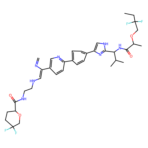 C=N/C(=C\NCCNC(=O)C1CCC(F)(F)CO1)c1ccc(-c2ccc(-c3c[nH]c(C(NC(=O)C(C)OCC(F)(F)CC)C(C)C)n3)cc2)nc1